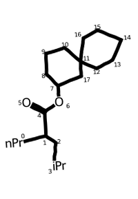 CCCC(CC(C)C)C(=O)OC1CCCC2(CCCCC2)C1